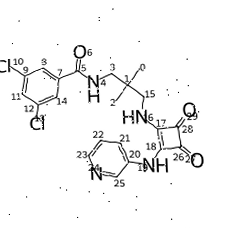 CC(C)(CNC(=O)c1cc(Cl)cc(Cl)c1)CNc1c(Nc2cccnc2)c(=O)c1=O